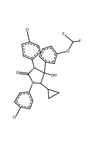 O=C1N(c2ccc(Cl)cc2)C(C2CC2)C(O)(c2cccc(OC(F)F)c2)N1c1ccc(Cl)cc1